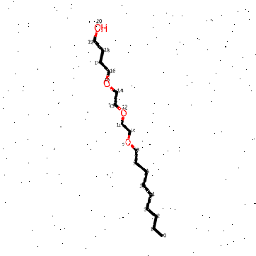 CCCCCCCCCOCCOCCOCC[CH]CO